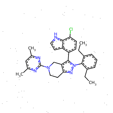 CCc1cccc(CC)c1-n1nc2c(c1-c1ccc(Cl)c3[nH]ccc13)CN(c1nc(C)cc(C)n1)CC2